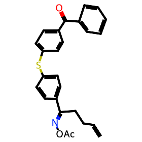 C=CCC/C(=N\OC(C)=O)c1ccc(Sc2ccc(C(=O)c3ccccc3)cc2)cc1